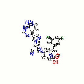 N#CCC1(n2cc(-c3ncnc4[nH]ccc34)cn2)CN(C2CCN(C(=O)O)C(Cc3cc(F)cc(F)c3)C2)C1